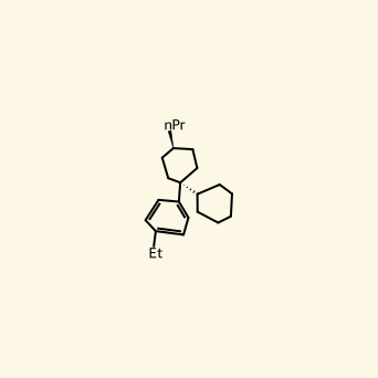 CCC[C@H]1CC[C@](c2ccc(CC)cc2)(C2CCCCC2)CC1